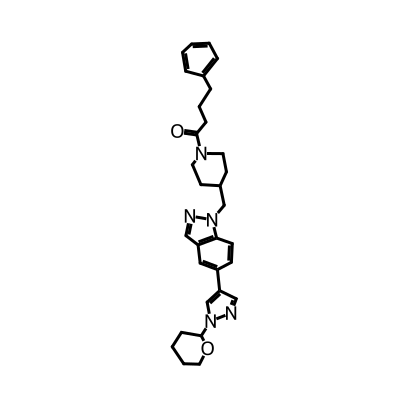 O=C(CCCc1ccccc1)N1CCC(Cn2ncc3cc(-c4cnn(C5CCCCO5)c4)ccc32)CC1